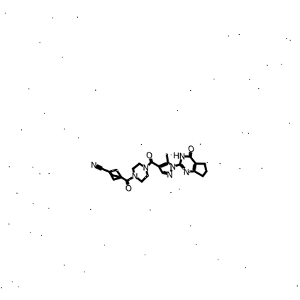 Cc1c(C(=O)N2CCN(C(=O)C34CC(C#N)(C3)C4)CC2)cnn1-c1nc2c(c(=O)[nH]1)CCC2